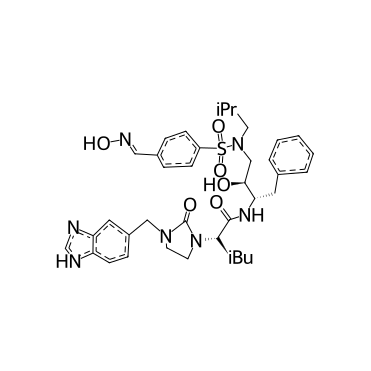 CC[C@H](C)[C@@H](C(=O)N[C@@H](Cc1ccccc1)[C@@H](O)CN(CC(C)C)S(=O)(=O)c1ccc(C=NO)cc1)N1CCN(Cc2ccc3[nH]cnc3c2)C1=O